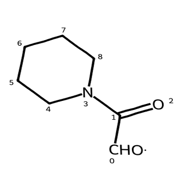 O=[C]C(=O)N1CCCCC1